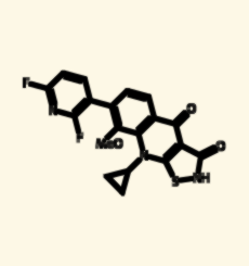 COc1c(-c2ccc(F)nc2F)ccc2c(=O)c3c(=O)[nH]sc3n(C3CC3)c12